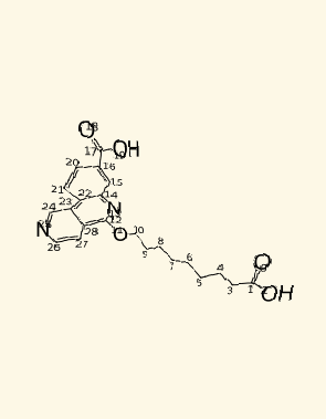 O=C(O)CCCCCCCCOc1nc2cc(C(=O)O)ccc2c2cnccc12